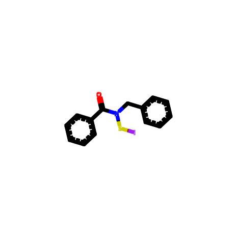 O=C(c1ccccc1)N(Cc1ccccc1)SI